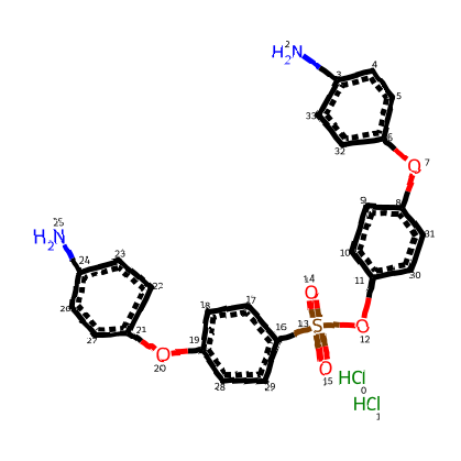 Cl.Cl.Nc1ccc(Oc2ccc(OS(=O)(=O)c3ccc(Oc4ccc(N)cc4)cc3)cc2)cc1